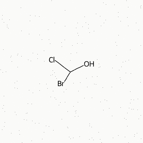 OC(Cl)Br